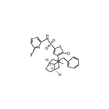 CN(c1cc(S(=O)(=O)Nc2cccc(F)n2)sc1Cl)C1[C@@H]2CC[C@H]1CN(Cc1ccccc1)C2